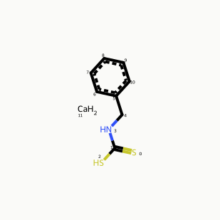 S=C(S)NCc1ccccc1.[CaH2]